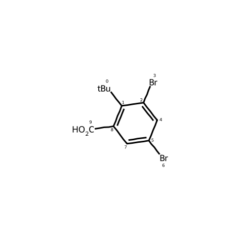 CC(C)(C)c1c(Br)cc(Br)cc1C(=O)O